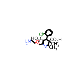 CC1=NC(COCCN)=C(C(=O)O)C(c2ccccc2Cl)C1(C)C(=O)O